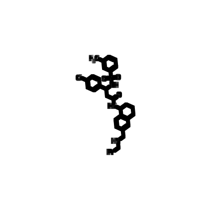 CC(C)CNCc1ccc2c(c1)CCCC2NC(=O)CC(NS(=O)(=O)c1cccc(C(F)(F)F)c1)c1ccc(Cl)cc1